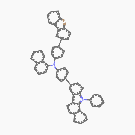 c1ccc(-n2c3ccc(-c4ccc(N(c5ccc(-c6ccc7sc8ccccc8c7c6)cc5)c5cccc6ccccc56)cc4)cc3c3ccc4ccccc4c32)cc1